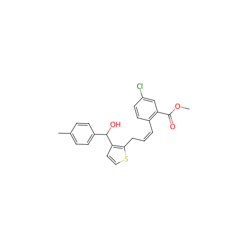 COC(=O)c1cc(Cl)ccc1/C=C\Cc1sccc1C(O)c1ccc(C)cc1